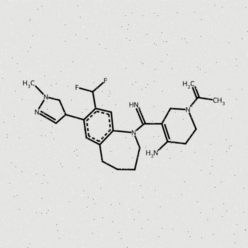 C=C(C)N1CCC(N)=C(C(=N)N2CCCCc3cc(C4C=NN(C)C4)c(C(F)F)cc32)C1